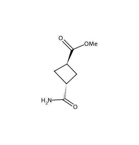 COC(=O)[C@H]1C[C@H](C(N)=O)C1